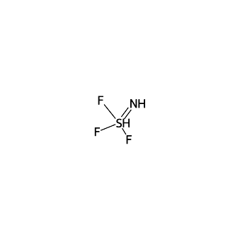 N=[SH](F)(F)F